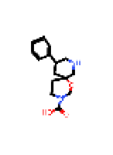 O=C(O)N1CCC2(CNCC(c3ccccc3)C2)OC1